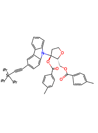 Cc1ccc(C(=O)OC[C@H]2OCC[C@@]2(OC(=O)c2ccc(C)cc2)n2c3ccccc3c3cc(C#C[Si](C(C)C)(C(C)C)C(C)C)ccc32)cc1